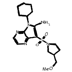 COCC1CCN(S(=O)(=O)c2c(N)n(C3CCCCC3)c3nccnc23)C1